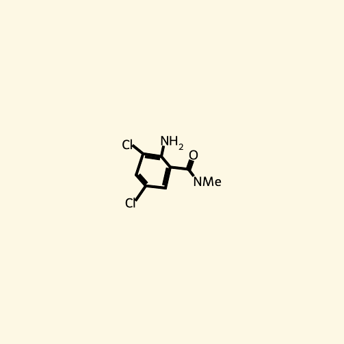 CNC(=O)c1cc(Cl)cc(Cl)c1N